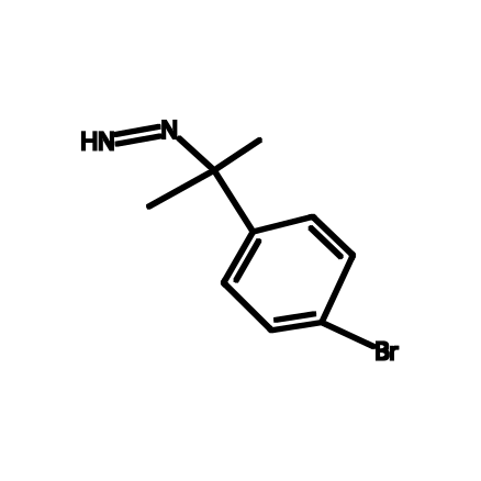 CC(C)(N=N)c1ccc(Br)cc1